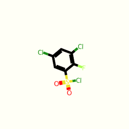 O=S(=O)(Cl)c1cc(Cl)cc(Cl)c1F